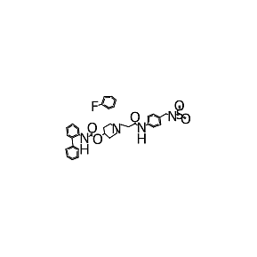 Fc1ccccc1.O=C(CCN1CCC(OC(=O)Nc2ccccc2-c2ccccc2)CC1)Nc1ccc(CN=S(=O)=O)cc1